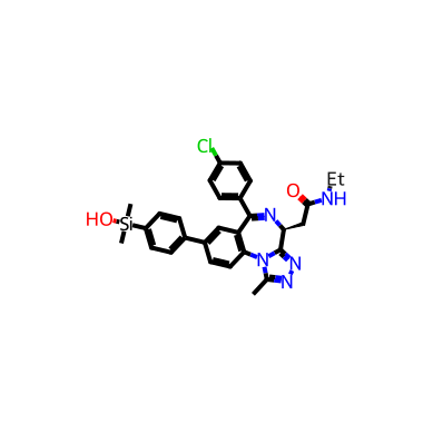 CCNC(=O)C[C@@H]1N=C(c2ccc(Cl)cc2)c2cc(-c3ccc([Si](C)(C)O)cc3)ccc2-n2c(C)nnc21